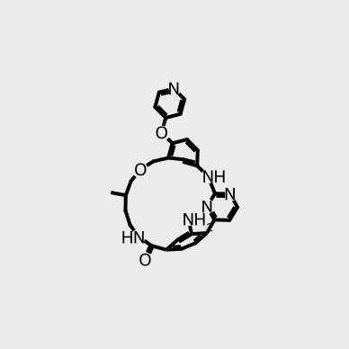 CC1CCNC(=O)c2ccc(c(N)c2)-c2ccnc(n2)Nc2ccc(Oc3ccncc3)c(c2)COC1